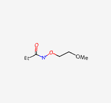 CCC(=O)[N]OCCOC